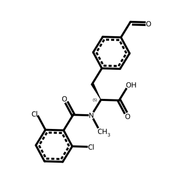 CN(C(=O)c1c(Cl)cccc1Cl)[C@@H](Cc1ccc(C=O)cc1)C(=O)O